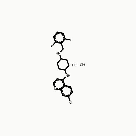 Cl.Cl.Fc1cccc(F)c1CNC1CCC(Nc2ccnc3cc(Cl)ccc23)CC1